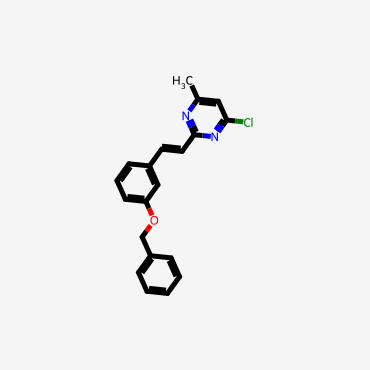 Cc1cc(Cl)nc(C=Cc2cccc(OCc3ccccc3)c2)n1